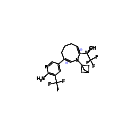 Nc1ncc(/C2=C/N(C34CC(C3)C4)/C([C@@H](O)C(F)(F)F)=C\CCC2)cc1C(F)(F)F